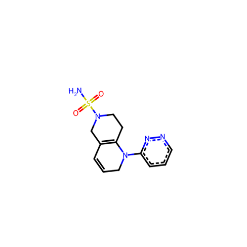 NS(=O)(=O)N1CCC2=C(C=CCN2c2cccnn2)C1